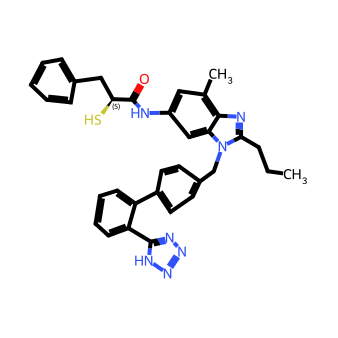 CCCc1nc2c(C)cc(NC(=O)[C@@H](S)Cc3ccccc3)cc2n1Cc1ccc(-c2ccccc2-c2nnn[nH]2)cc1